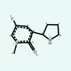 Cn1cc(F)cc(C2CCCN2)c1=O